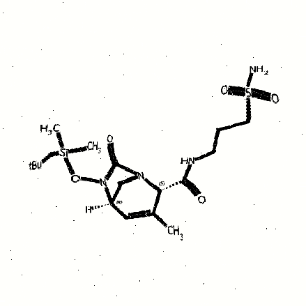 CC1=C[C@@H]2CN(C(=O)N2O[Si](C)(C)C(C)(C)C)[C@@H]1C(=O)NCCCS(N)(=O)=O